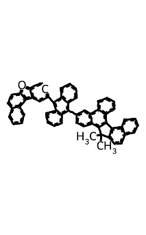 CC1(C)c2ccc3ccccc3c2-c2c1c1ccc(-c3c4ccccc4c(-c4ccc5oc6ccc7ccccc7c6c5c4)c4ccccc34)cc1c1ccccc21